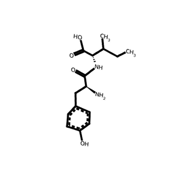 CCC(C)[C@H](NC(=O)[C@@H](N)Cc1ccc(O)cc1)C(=O)O